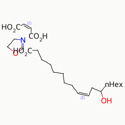 C1=NCCO1.CCCCCCC(O)C/C=C\CCCCCCCC(=O)O.O=C(O)/C=C\C(=O)O